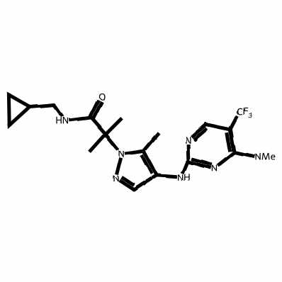 CNc1nc(Nc2cnn(C(C)(C)C(=O)NCC3CC3)c2C)ncc1C(F)(F)F